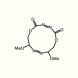 COC1COC(=O)N=NC(=O)OCC(OC)N=N1